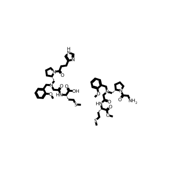 COC(=O)[C@H](CCSC)NC(=O)CN(Cc1ccccc1OC)C[C@@H]1CCCN1C(=O)CN.COc1ccccc1CN(CC(=O)N[C@@H](CCSC)C(=O)O)C[C@@H]1CCCN1C(=O)CCc1c[nH]cn1